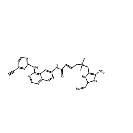 C#Cc1cccc(Nc2ncnc3cnc(NC(=O)/C=C/C[N+](C)(C)CC4=C([N+](=O)[O-])NC(C=N)N4)cc23)c1